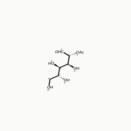 CC(=O)O[C@@H](C=O)[C@@H](O)[C@H](O)[C@H](O)CO